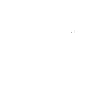 CCC(C)(C)c1ccc(CNC(C)=O)cc1